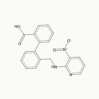 O=C(O)c1ccccc1-c1ccccc1CNc1ncccc1[N+](=O)[O-]